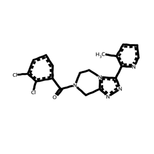 Cc1cccnc1-c1nnc2n1CCN(C(=O)c1cccc(Cl)c1Cl)C2